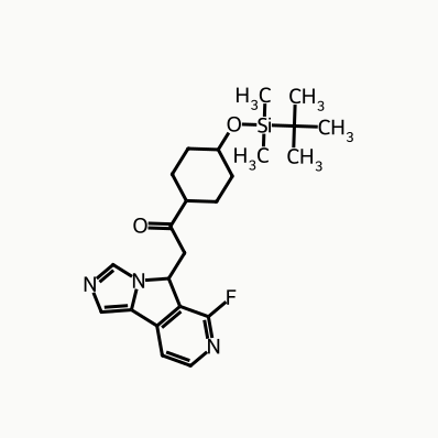 CC(C)(C)[Si](C)(C)OC1CCC(C(=O)CC2c3c(ccnc3F)-c3cncn32)CC1